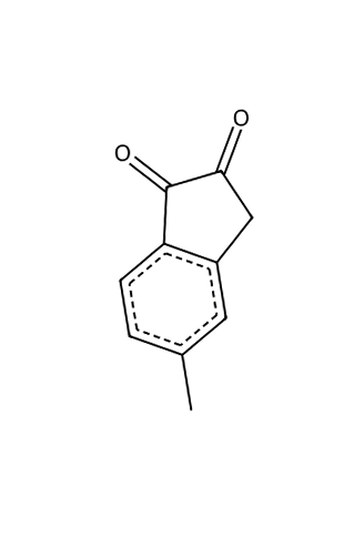 Cc1ccc2c(c1)CC(=O)C2=O